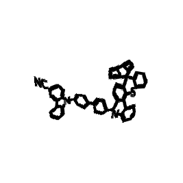 N#Cc1ccc2c(c1)c1ccccc1n2-c1ccc(-c2ccc(-c3nc4ccccc4c4c5c(ccc34)C3(c4ccccc4S5)c4ccccc4-c4ccccc43)cc2)cc1